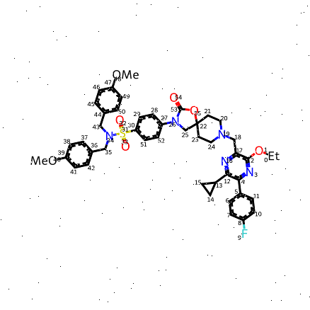 CCOc1nc(-c2ccc(F)cc2)c(C2CC2)nc1CN1CCC2(CC1)CN(c1ccc(S(=O)(=O)N(Cc3ccc(OC)cc3)Cc3ccc(OC)cc3)cc1)C(=O)O2